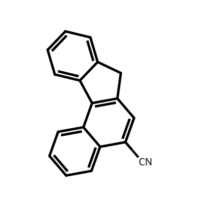 N#Cc1cc2c(c3ccccc13)-c1ccccc1C2